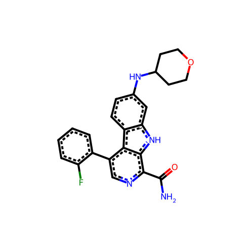 NC(=O)c1ncc(-c2ccccc2F)c2c1[nH]c1cc(NC3CCOCC3)ccc12